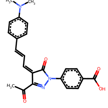 CC(=O)C1=NN(c2ccc(C(=O)O)cc2)C(=O)C1=CC=Cc1ccc(N(C)C)cc1